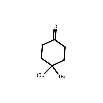 CC(C)(C)C1(C(C)(C)C)CCC(=O)CC1